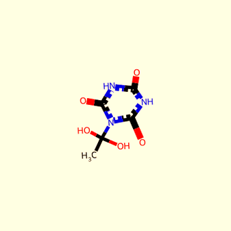 CC(O)(O)n1c(=O)[nH]c(=O)[nH]c1=O